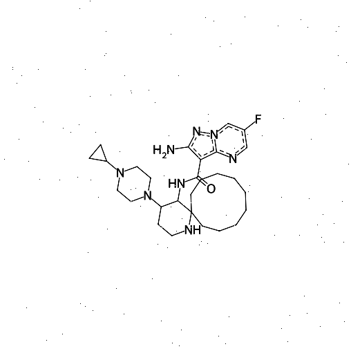 Nc1nn2cc(F)cnc2c1C(=O)NC1C(N2CCN(C3CC3)CC2)CCNC12CCCCCCCCC2